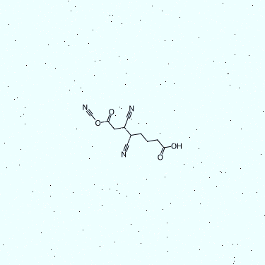 N#COC(=O)CC(C#N)C(C#N)CCCC(=O)O